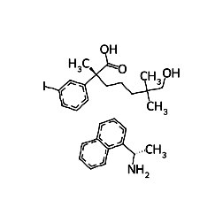 CC(C)(CO)CCC[C@@](C)(C(=O)O)c1cccc(I)c1.C[C@H](N)c1cccc2ccccc12